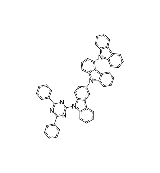 c1ccc(-c2nc(-c3ccccc3)nc(-n3c4ccccc4c4cc(-n5c6ccccc6c6c(-n7c8ccccc8c8ccccc87)cccc65)ccc43)n2)cc1